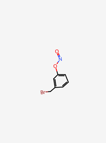 O=NOc1cccc(CBr)c1